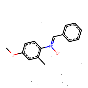 COc1ccc([N+]([O-])=Cc2ccccc2)c(C)c1